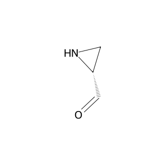 O=C[C@H]1CN1